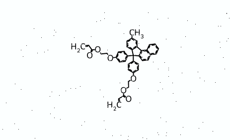 C=CC(=O)OCCOc1ccc(C2(c3ccc(OCCOC(=O)C=C)cc3)c3ccc(C)cc3-c3c2ccc2ccccc32)cc1